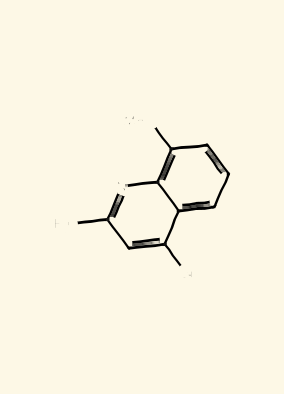 COc1cccc2c(Br)cc(C(F)(F)F)nc12